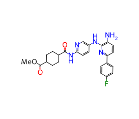 COC(=O)C1CCC(C(=O)Nc2ccc(Nc3nc(-c4ccc(F)cc4)ccc3N)cn2)CC1